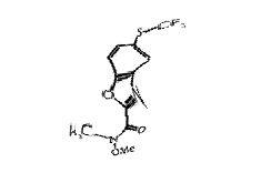 CON(C)C(=O)c1nc2cc(SC(F)(F)F)ccc2o1